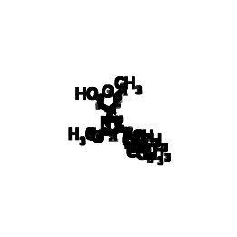 CCCCC(CC(=O)O)c1cc(CO[Si](C)(C)C(C)(C)C)cc(OC)n1